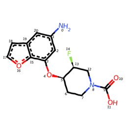 Nc1cc(O[C@@H]2CCN(C(=O)O)C[C@@H]2F)c2occc2c1